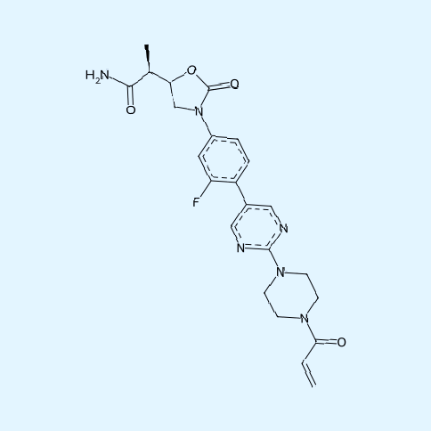 C=CC(=O)N1CCN(c2ncc(-c3ccc(N4CC([C@H](C)C(N)=O)OC4=O)cc3F)cn2)CC1